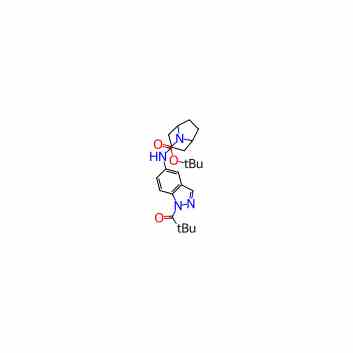 CC(C)(C)OC(=O)N1C2CCC1CC(Nc1ccc3c(cnn3C(=O)C(C)(C)C)c1)C2